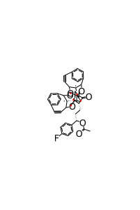 CC(=O)O[C@@H](CC[C@H]1C(=O)N([C]2C3C#Cc4ccc(cc4)C2OC(C)(C)O3)[C@H]1[C]1C2C#Cc3ccc(cc3)C1OC(C)(C)O2)c1ccc(F)cc1